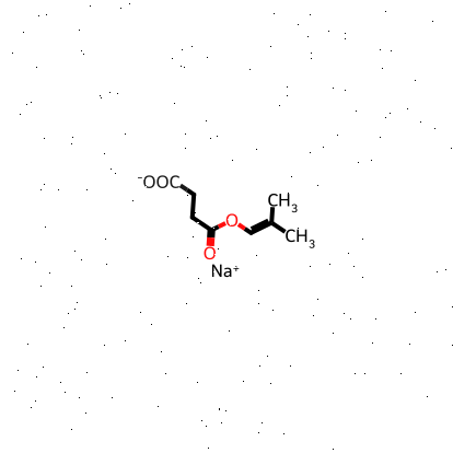 CC(C)=COC(=O)CCC(=O)[O-].[Na+]